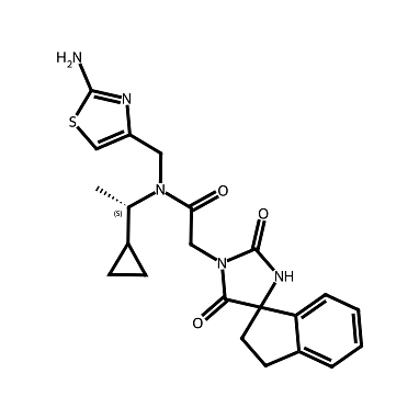 C[C@@H](C1CC1)N(Cc1csc(N)n1)C(=O)CN1C(=O)NC2(CCc3ccccc32)C1=O